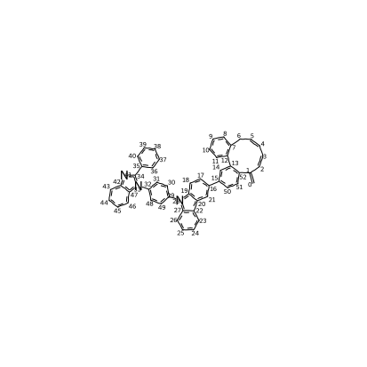 C=C1/C=C\C=C/Cc2ccccc2-c2cc(-c3ccc4c(c3)c3ccccc3n4-c3ccc(-n4c(-c5ccccc5)nc5ccccc54)cc3)ccc21